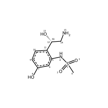 CS(=O)(=O)Nc1cc(O)ccc1[C@H](O)CN